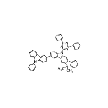 CC1(C)c2ccccc2-c2cc3c(cc21)c1cc(-c2ccc4c(c2)c2ccccc2n4-c2ccccc2)ccc1n3-c1nc(-c2ccccc2)nc(-c2ccccc2)n1